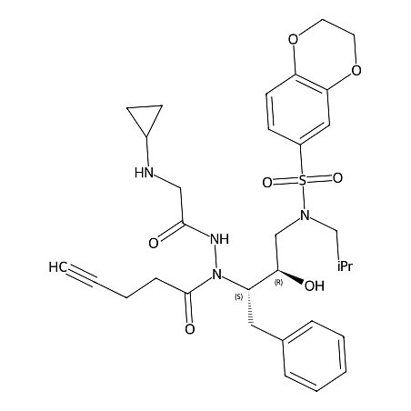 C#CCCC(=O)N(NC(=O)CNC1CC1)[C@@H](Cc1ccccc1)[C@H](O)CN(CC(C)C)S(=O)(=O)c1ccc2c(c1)OCCO2